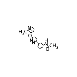 CC(=O)Nc1cccc(-c2ccc(OC3C4CCN(CC4)C3C)nn2)c1